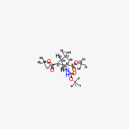 CC(C)(C)OC(=O)N[C@@]1(C(=O)OC(C)(C)C)CC2(CC2)[C@H]2[C@H](C(=O)OC(C)(C)C)[C@H]21